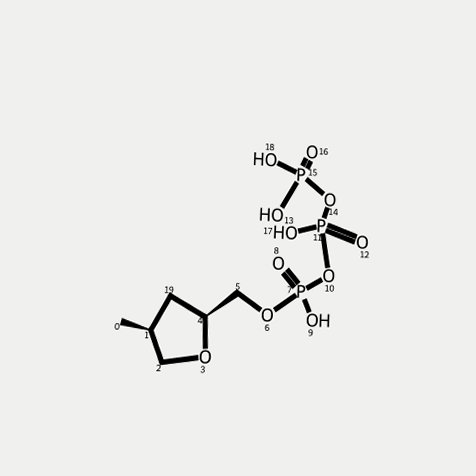 C[C@@H]1CO[C@H](COP(=O)(O)OP(=O)(O)OP(=O)(O)O)C1